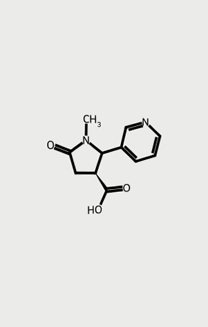 CN1C(=O)C[C@H](C(=O)O)C1c1cccnc1